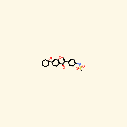 CS(=O)(=O)Nc1ccc(-c2coc3cc(C4(O)CCCCC4)ccc3c2=O)cc1